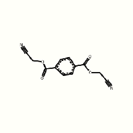 N#CCOC(=O)c1ccc(C(=O)OCC#N)cc1